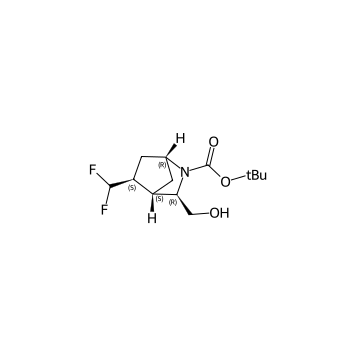 CC(C)(C)OC(=O)N1[C@@H]2C[C@@H]([C@@H](C(F)F)C2)[C@@H]1CO